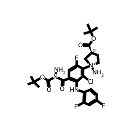 CC(C)(C)OC(=O)[C@H]1CC[N+](N)(c2c(F)cc(C(=O)N(N)C(=O)OC(C)(C)C)c(Nc3ccc(F)cc3F)c2Cl)C1